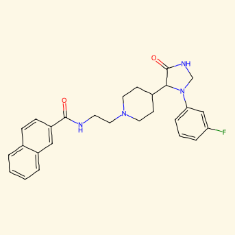 O=C(NCCN1CCC(C2C(=O)NCN2c2cccc(F)c2)CC1)c1ccc2ccccc2c1